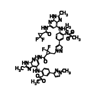 Cc1nc2c(Nc3ccc(-c4cnn(CC5C(C(=O)Nc6cc(Nc7ccc(-c8ccn(C)n8)cc7S(C)(=O)=O)c7nc(C)[nH]c7n6)C5(F)F)c4)cc3N(C)S(C)(=O)=O)cc(NC(=O)C3CC3(F)F)nc2[nH]1